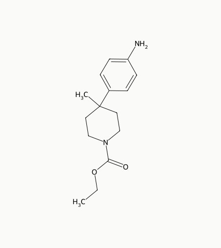 CCOC(=O)N1CCC(C)(c2ccc(N)cc2)CC1